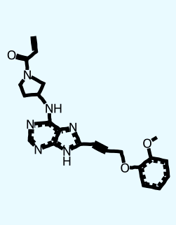 C=CC(=O)N1CCC(Nc2ncnc3[nH]c(C#CCOc4ccccc4OC)nc23)C1